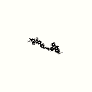 O=C1CCC(N2Cc3cc(N4CCN(CCCCOc5ccc([C@@H]6c7ccc(O)cc7OC[C@@H]6c6ccccc6)cc5)CC4)ccc3C2=O)C(=O)N1